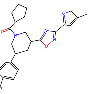 CCc1ccc(C2CC(c3nc(C4=NCC(C)=C4)no3)CN(C(=O)C3CCCC3)C2)cc1